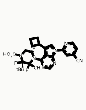 CC(C)(C)[C@@]1(F)N(C(=O)O)CC(F)N(c2ncnc3c2c(C2CCC2)cn3-c2cc(C#N)ccn2)C1(C)F